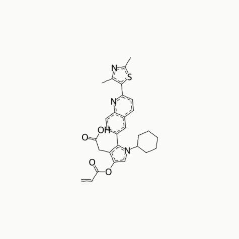 C=CC(=O)Oc1cn(C2CCCCC2)c(-c2ccc3nc(-c4sc(C)nc4C)ccc3c2)c1CC(=O)O